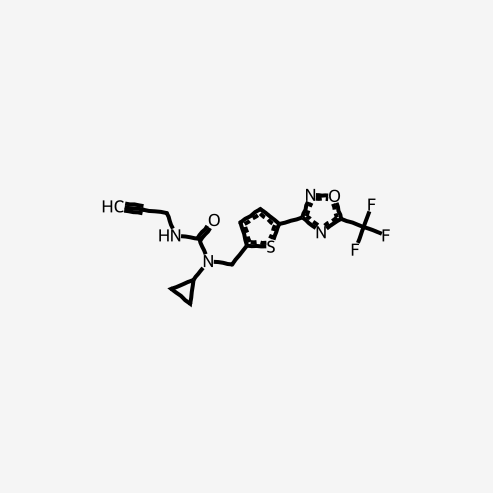 C#CCNC(=O)N(Cc1ccc(-c2noc(C(F)(F)F)n2)s1)C1CC1